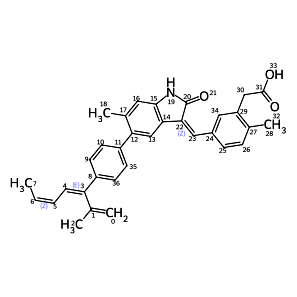 C=C(C)/C(=C\C=C/C)c1ccc(-c2cc3c(cc2C)NC(=O)/C3=C\c2ccc(C)c(CC(=O)O)c2)cc1